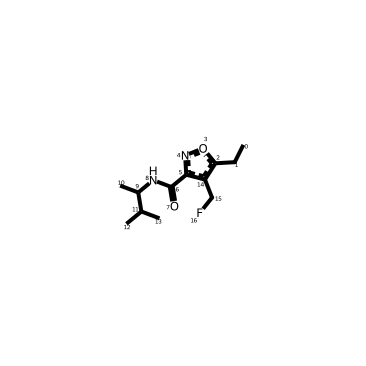 CCc1onc(C(=O)NC(C)C(C)C)c1CF